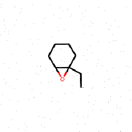 [CH2]CC12CCCCC1O2